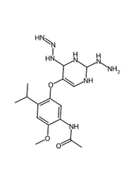 COc1cc(C(C)C)c(OC2=CNC(NN)NC2NN=N)cc1NC(C)=O